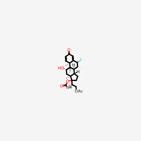 CCCC(=O)O[C@]1(C(=O)COC(C)=O)CC[C@H]2[C@@H]3C[C@H](F)C4=CC(=O)C=C[C@]4(C)C3(F)[C@@H](O)C[C@@]21C